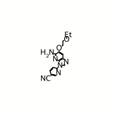 CCOCCOc1cc2ncn(-c3ccc(C#N)cn3)c2nc1N